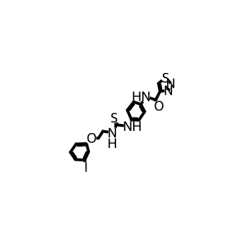 O=C(Nc1ccc(NC(=S)NCCOc2cccc(I)c2)cc1)c1csnn1